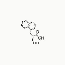 O=C(O)C(=CO)Cc1cccc2ccccc12